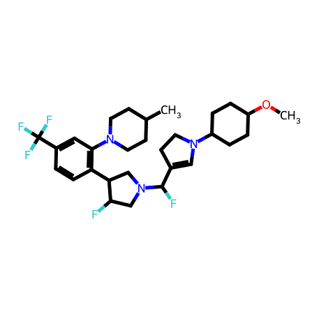 COC1CCC(N2C=C(C(F)N3CC(F)C(c4ccc(C(F)(F)F)cc4N4CCC(C)CC4)C3)CC2)CC1